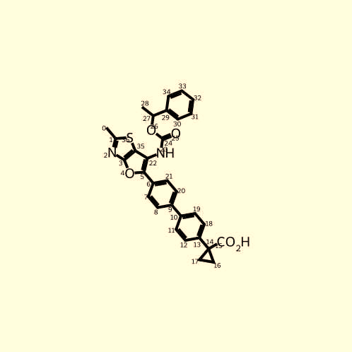 Cc1nc2oc(-c3ccc(-c4ccc(C5(C(=O)O)CC5)cc4)cc3)c(NC(=O)OC(C)c3ccccc3)c2s1